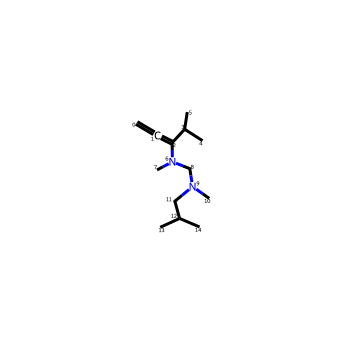 C=C=C(C(C)C)N(C)CN(C)CC(C)C